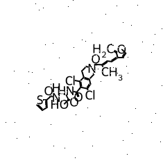 C=c1occ/c1=C/C=C(\C)C(=O)N1CCc2c(cc(Cl)c(C(=O)N[C@@H](CNC(=O)c3cccs3)C(=O)O)c2Cl)C1